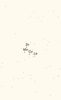 [Cu].[La].[Mn].[Zn]